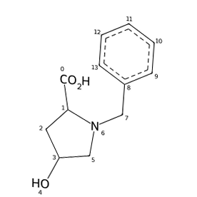 O=C(O)C1CC(O)CN1Cc1ccccc1